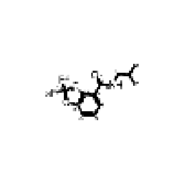 CC(C)CNC(=O)c1cccc2c1OC(F)(F)O2